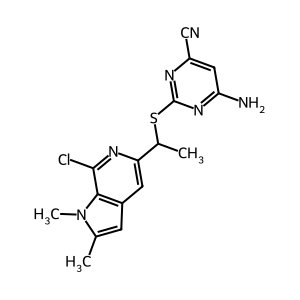 Cc1cc2cc(C(C)Sc3nc(N)cc(C#N)n3)nc(Cl)c2n1C